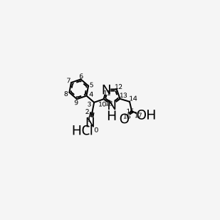 Cl.N#CC(c1ccccc1)c1ncc(CC(=O)O)[nH]1